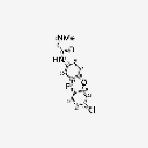 CNCC(=O)Nc1ccc(Oc2cccc(Cl)c2)c(F)c1